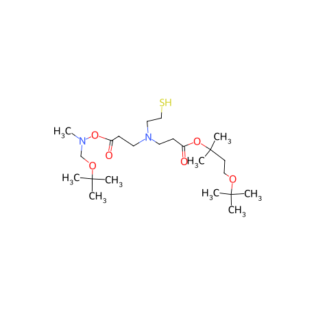 CN(COC(C)(C)C)OC(=O)CCN(CCS)CCC(=O)OC(C)(C)CCOC(C)(C)C